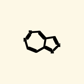 c1cc2nncc-2cnn1